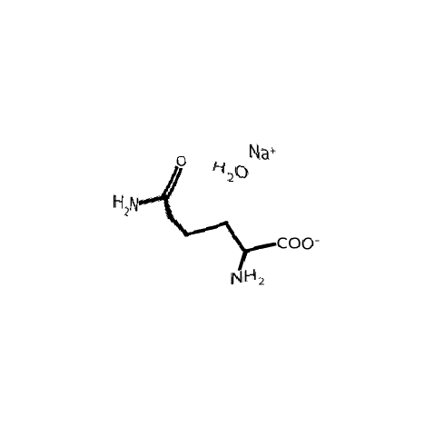 NC(=O)CCC(N)C(=O)[O-].O.[Na+]